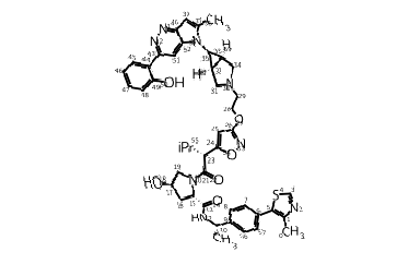 Cc1ncsc1-c1ccc([C@H](C)NC(=O)[C@@H]2C[C@@H](O)CN2C(=O)[C@@H](c2cc(OCCN3C[C@@H]4[C@H](C3)[C@@H]4n3c(C)cc4nnc(-c5ccccc5O)cc43)no2)C(C)C)cc1